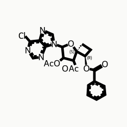 CC(=O)OC1C(n2cnc3c(Cl)ncnc32)O[C@]2(CC[C@H]2OC(=O)c2ccccc2)C1OC(C)=O